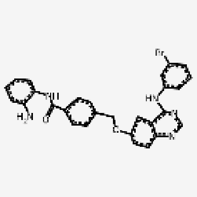 Nc1ccccc1NC(=O)c1ccc(COc2ccc3ncnc(Nc4cccc(Br)c4)c3c2)cc1